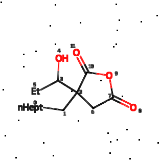 CCCCCCCCC1(C(O)CC)CC(=O)OC1=O